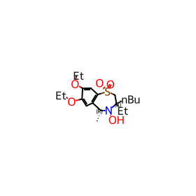 CCCC[C@]1(CC)CS(=O)(=O)c2cc(OCC)c(OCC)cc2[C@@H](C)N1O